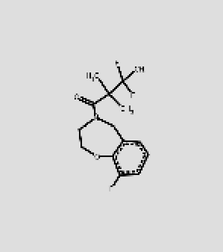 CC(F)(F)C(C)(C)C(=O)N1CCOc2c(F)cccc2C1